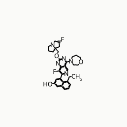 CCc1cccc2cc(O)cc(-c3ncc4c(N5CCCOCC5)nc(OC[C@@]56CCCN5C[C@H](F)C6)nc4c3F)c12